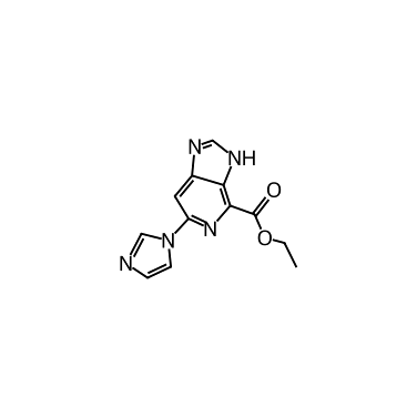 CCOC(=O)c1nc(-n2ccnc2)cc2nc[nH]c12